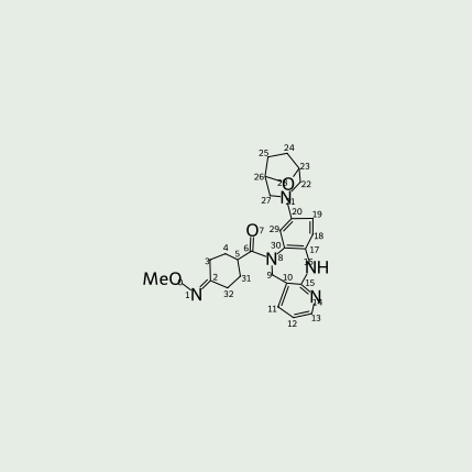 CON=C1CCC(C(=O)N2Cc3cccnc3Nc3ccc(N4CC5CCC(C4)O5)cc32)CC1